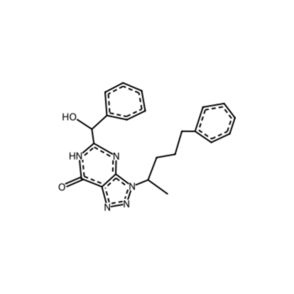 CC(CCCc1ccccc1)n1nnc2c(=O)[nH]c(C(O)c3ccccc3)nc21